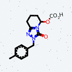 Cc1ccc(Cn2nc3n(c2=O)C(OC(=O)O)CCC3)cc1